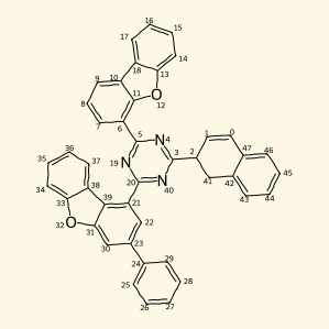 C1=CC(c2nc(-c3cccc4c3oc3ccccc34)nc(-c3cc(-c4ccccc4)cc4oc5ccccc5c34)n2)Cc2ccccc21